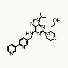 CC(C)n1cnc2c(NCc3ccc(-c4cccnc4)nc3)nc(N3CCOC[C@H]3CCO)nc21